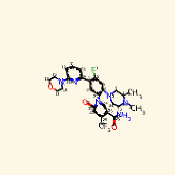 C[C@@H]1CN(c2cc(F)c(-c3cccc(N4CCOCC4)n3)cc2-n2cc(C(N)=O)c(C(F)(F)F)cc2=O)CCN1C